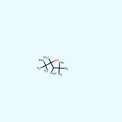 COC(C)(C)C(C(=O)O)C(O)(C(=O)O)C(C)(C)OC